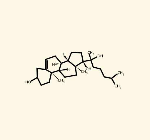 CC(C)CCC[C@@](C)(O)[C@@]1(O)CC[C@H]2[C@@H]3CC=C4CC(O)CC[C@]4(C)[C@H]3CC[C@@]21C